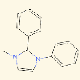 CN1C=CN(c2ccccc2)C1c1ccccc1